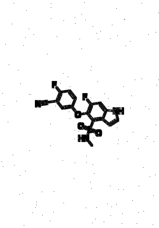 CNS(=O)(=O)c1c(Oc2ccc(F)c(C#N)c2)c(F)cc2[nH]ccc12